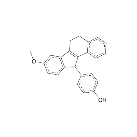 COc1ccc2c(c1)C1=C(c3ccccc3CC1)C2c1ccc(O)cc1